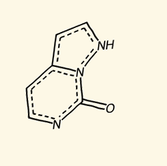 O=c1nccc2cc[nH]n12